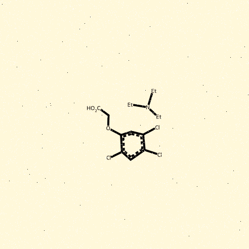 CCN(CC)CC.O=C(O)COc1cc(Cl)c(Cl)cc1Cl